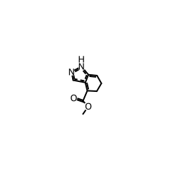 COC(=O)C1=c2cn[nH]c2=CCC1